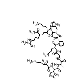 C[C@H](NC(=O)[C@@H](NC(=O)[C@@H](N)CCCCN)[C@@H](O)CN)C(=O)NCC(=O)N[C@H](CCCN)C(=O)N1CCC[C@H]1C(=O)N[C@@H](Cc1cnc[nH]1)C(=O)N[C@@H](CCCN)C(=O)CC[C@H](CCCNC(=N)N)C(N)=O